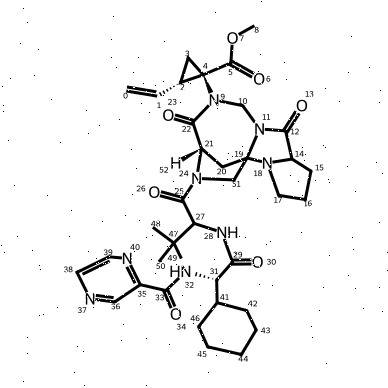 C=C[C@@H]1C[C@@]1(C(=O)OC)N1CN2C(=O)C3CCCN3C23C[C@@H](C1=O)N(C(=O)C(NC(=O)[C@@H](NC(=O)c1cnccn1)C1CCCCC1)C(C)(C)C)C3